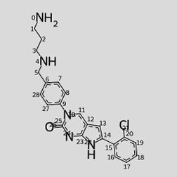 NCCCNCc1ccc(-n2cc3cc(-c4ccccc4Cl)[nH]c3nc2=O)cc1